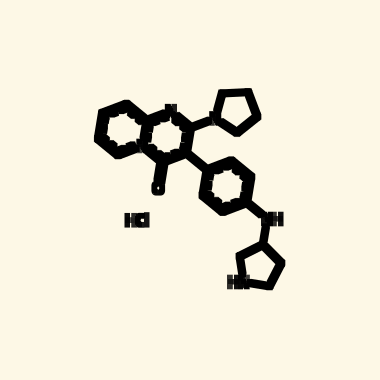 Cl.O=c1c(-c2ccc(NC3CCNC3)cc2)c(N2CCCC2)nc2ccccn12